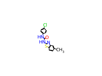 Cc1ccc2sc(NC(=O)Nc3ccc(Cl)cc3)nc2c1